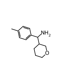 Cc1ccc(C(N)C2CCCOC2)cc1